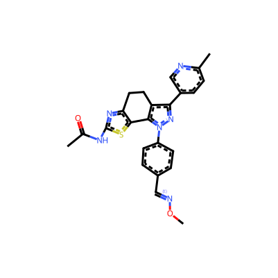 CO/N=C/c1ccc(-n2nc(-c3ccc(C)nc3)c3c2-c2sc(NC(C)=O)nc2CC3)cc1